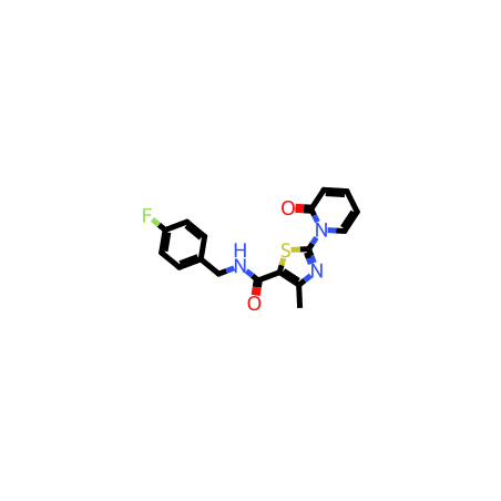 Cc1nc(-n2ccccc2=O)sc1C(=O)NCc1ccc(F)cc1